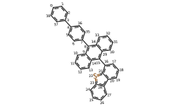 c1ccc(-c2ccc(-c3c4ccccc4c(-c4cccc5c4sc4ccccc45)c4ccccc34)cc2)cc1